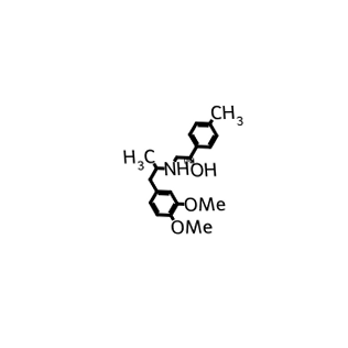 COc1ccc(CC(C)NC[C@H](O)c2ccc(C)cc2)cc1OC